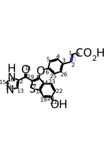 O=C(O)/C=C/c1ccc(Oc2c(C(=O)c3cnc[nH]3)sc3cc(O)ccc23)cc1